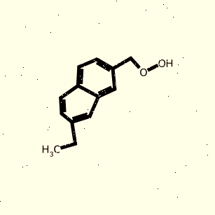 CCc1ccc2ccc(COO)cc2c1